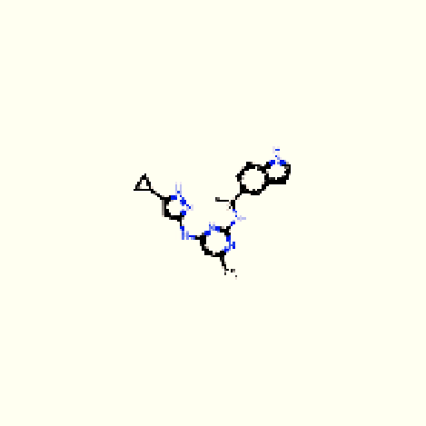 C[C@H](Nc1nc(Nc2cc(C3CC3)[nH]n2)cc(C(F)(F)F)n1)c1ccc2[nH]ccc2c1